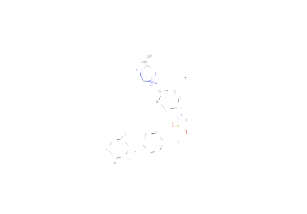 COc1cc(NS(=O)(=O)Cc2ccc(-c3ccccc3)cc2)ccc1-n1cnc(C)c1